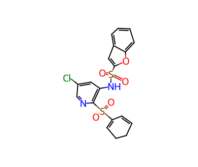 O=S(=O)(Nc1cc(Cl)cnc1S(=O)(=O)C1=CCCC=C1)c1cc2ccccc2o1